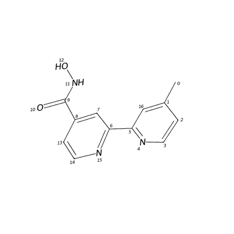 Cc1ccnc(-c2cc(C(=O)NO)ccn2)c1